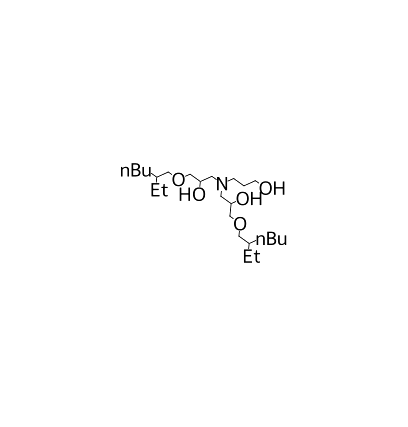 CCCCC(CC)COCC(O)CN(CCCO)CC(O)COCC(CC)CCCC